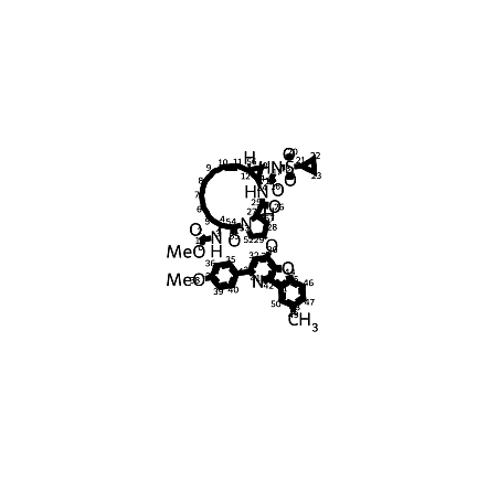 COC(=O)N[C@H]1CCCCC/C=C\[C@@H]2C[C@@]2(C(=O)NS(=O)(=O)C2CC2)NC(=O)[C@@H]2C[C@@H](Oc3cc(-c4ccc(OC)cc4)nc4c3oc3ccc(C)cc34)CN2C1=O